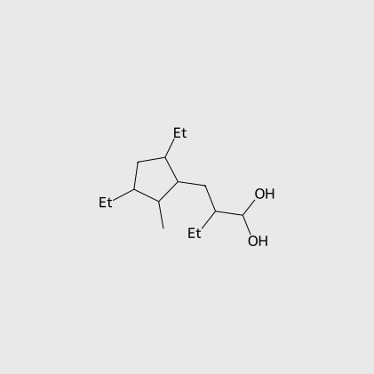 CCC(CC1C(CC)CC(CC)C1C)C(O)O